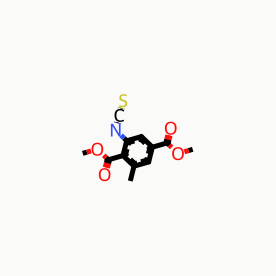 COC(=O)c1cc(C)c(C(=O)OC)c(N=C=S)c1